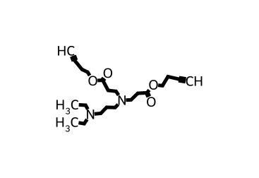 C#CCCOC(=O)CCN(CCCN(CC)CC)CCC(=O)OCCC#C